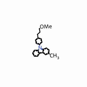 COCCCc1ccc(-n2c3ccccc3c3cc(C)ccc32)cc1